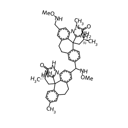 CONCc1ccc2c(c1)CCc1cc(C(NOC)c3ccc4c(c3)CCc3cc(C)ccc3C4(C[C@H](C)N)c3n[nH]c(=O)[nH]3)ccc1C2(C[C@H](C)N)c1nn(C)c(=O)[nH]1